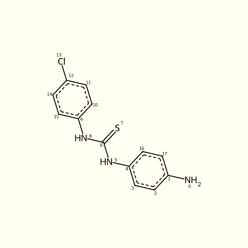 Nc1ccc(NC(=S)Nc2ccc(Cl)cc2)cc1